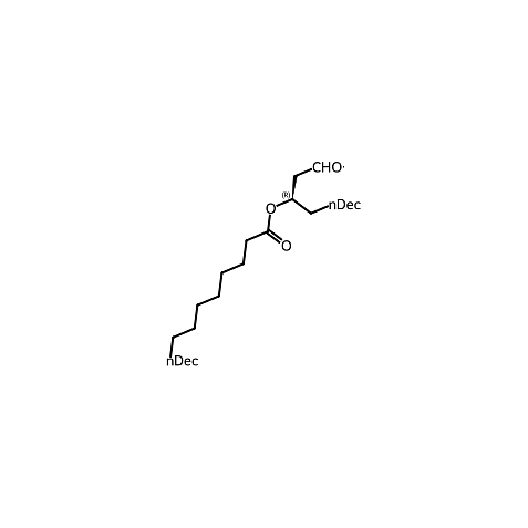 CCCCCCCCCCCCCCCCCC(=O)O[C@@H](C[C]=O)CCCCCCCCCCC